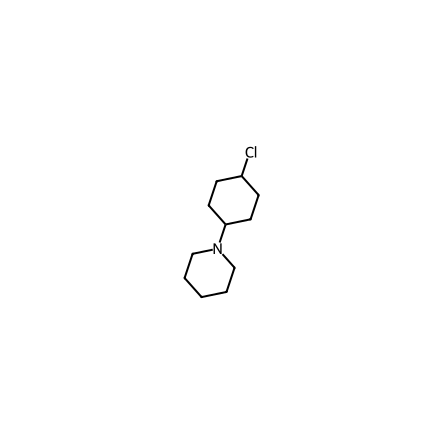 ClC1CCC(N2CCCCC2)CC1